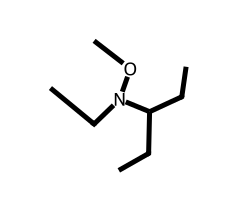 CCC(CC)N(CC)OC